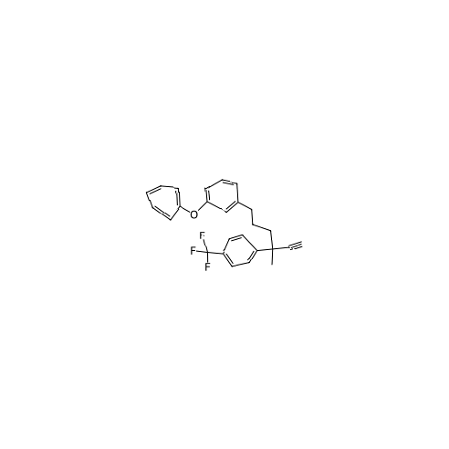 C#CC(C)(CCCc1cccc(Oc2ccccc2)c1)c1ccc(C(F)(F)F)cc1